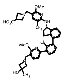 COc1nc(-c2cccc(-c3cccc4c3CC[C@@H]4Nc3nc(OC)c(CN4CC(C(=O)O)C4)cc3C(F)(F)F)c2Cl)ccc1CN1CC(C)(O)C1